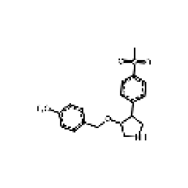 CS(=O)(=O)c1ccc(C2CNCC2OCc2ccc(C(F)(F)F)cc2)cc1